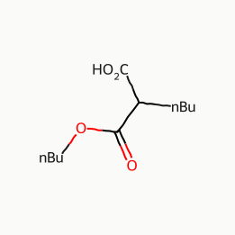 CCCCOC(=O)C(CCCC)C(=O)O